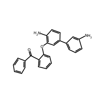 Nc1cccc(-c2ccc(N)c(Oc3ccccc3C(=O)c3ccccc3)c2)c1